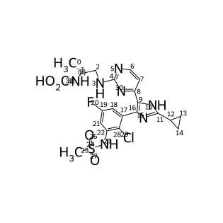 C[C@H](CNc1nccc(-c2[nH]c(C3CC3)nc2-c2cc(F)cc(NS(C)(=O)=O)c2Cl)n1)NC(=O)O